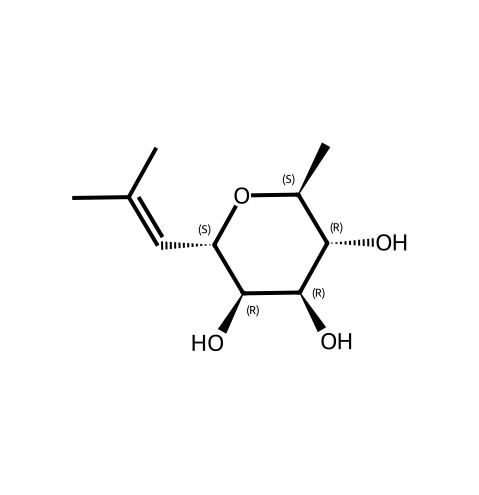 CC(C)=C[C@@H]1O[C@@H](C)[C@H](O)[C@@H](O)[C@H]1O